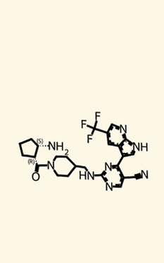 N#Cc1cnc(NCC2CCN(C(=O)[C@@H]3CCC[C@@H]3N)CC2)nc1-c1c[nH]c2ncc(C(F)(F)F)cc12